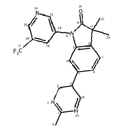 CC1=NCC(c2ccc3c(c2)N(c2cncc(C(F)(F)F)c2)C(=O)C3(C)C)C=N1